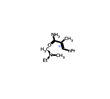 CCC/C=C(\C)C(N)=O.CCN(C)C